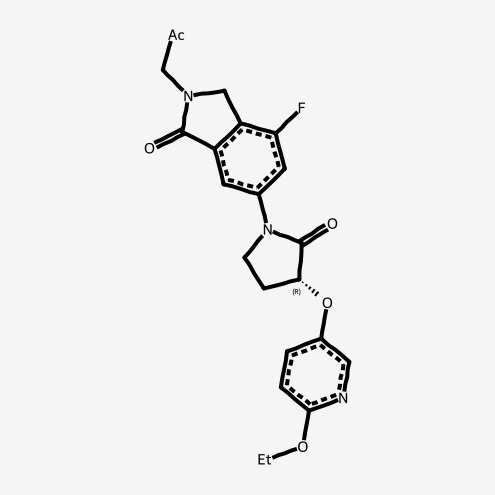 CCOc1ccc(O[C@@H]2CCN(c3cc(F)c4c(c3)C(=O)N(CC(C)=O)C4)C2=O)cn1